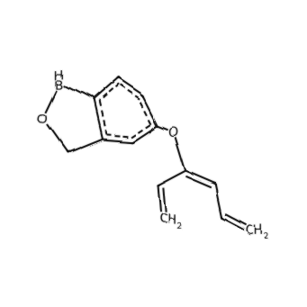 C=C/C=C(\C=C)Oc1ccc2c(c1)COB2